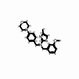 COc1cccc(CN(Cc2ccc(N3CCOCC3)cc2)c2nc(C)cs2)c1